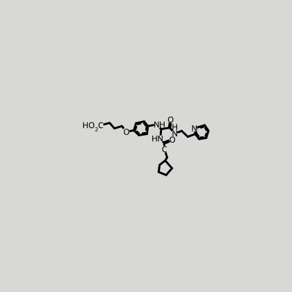 O=C(O)CCCOc1ccc(NC(NC(=O)CCC2CCCC2)C(=O)NCCc2ccccn2)cc1